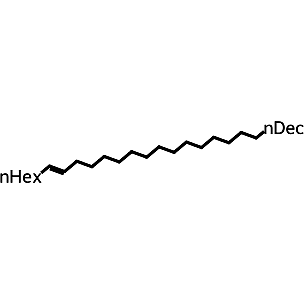 CCCCCCC=CCCCCCCCCCCCCCCCCCCCCCCCC